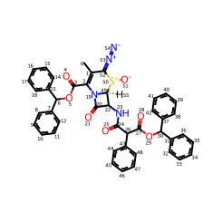 CC1=C(C(=O)OC(c2ccccc2)c2ccccc2)N2C(=O)C(NC(=O)C(C(=O)OC(c3ccccc3)c3ccccc3)c3ccccc3)[C@@H]2[S@@+]([O-])C1=[N+]=[N-]